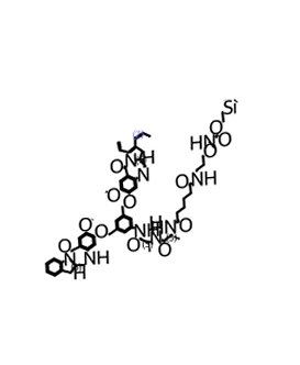 C=CC1=C(/C=C\C)C[C@H]2C=Nc3cc(OCc4cc(COc5cc6c(cc5OC)C(=O)N5c7ccccc7C[C@H]5CN6)cc(NC(=O)[C@H](C)NC(=O)[C@H](C)NC(=O)CCCCC(=O)NCCCONC(=O)OCC[Si](C)(C)C)c4)c(OC)cc3C(=O)N12